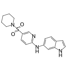 O=S(=O)(c1ccc(Nc2ccc3cc[nH]c3c2)nc1)N1CCCCC1